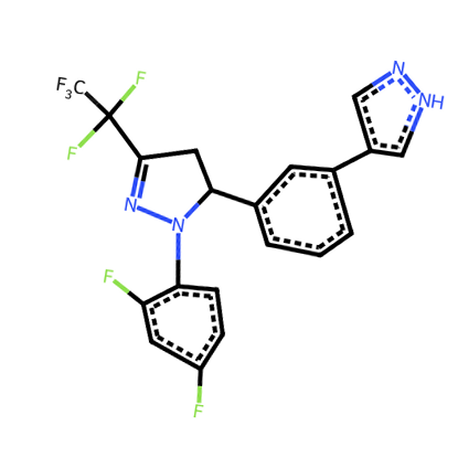 Fc1ccc(N2N=C(C(F)(F)C(F)(F)F)CC2c2cccc(-c3cn[nH]c3)c2)c(F)c1